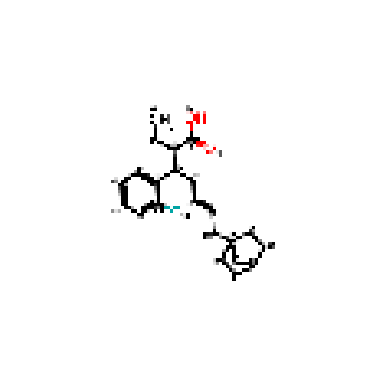 CCC(C(=O)O)C(CC=CCC12CCC(CC1)C2)c1ccccc1F